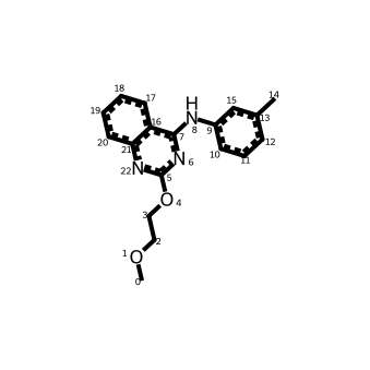 COCCOc1nc(Nc2cccc(C)c2)c2ccccc2n1